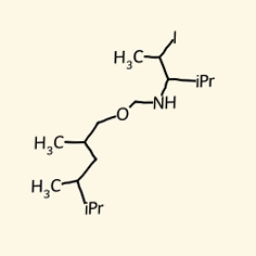 CC(COCNC(C(C)C)C(C)I)CC(C)C(C)C